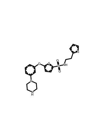 O=S(=O)(NCCc1cccs1)c1ccc(Oc2cccc(N3CCNCC3)c2)s1